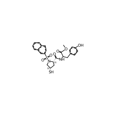 COC(=O)C(Cc1ccc(O)cc1)NC(=O)[C@@H]1C[C@H](S)CN1S(=O)(=O)c1ccc2ccccc2c1